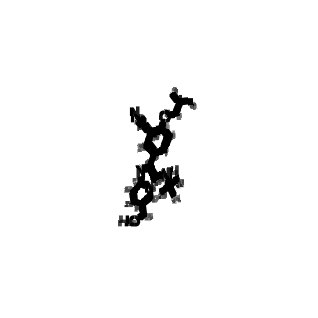 CC(C)COc1ccc(-c2nc3ccc(CO)cn3c2NC(C)(C)C)cc1C#N